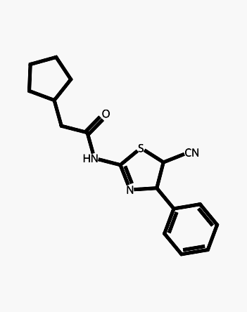 N#CC1SC(NC(=O)CC2CCCC2)=NC1c1ccccc1